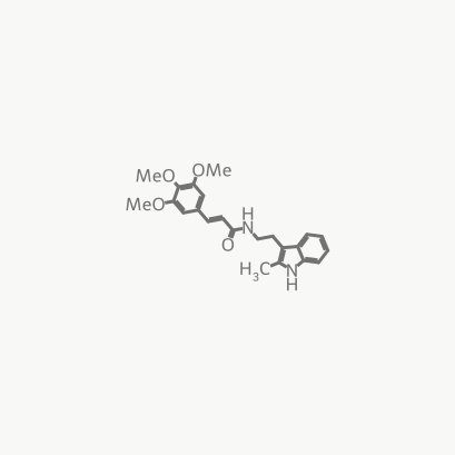 COc1cc(C=CC(=O)NCCc2c(C)[nH]c3ccccc23)cc(OC)c1OC